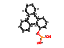 OP(O)Oc1cccc2c3ccccc3c3ccccc3c12